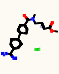 COC(=O)/C=C/CN(C)C(=O)c1ccc(-c2ccc(C(=N)N)cc2)cc1.Cl